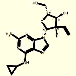 C=C[C@@]1(F)[C@H](O)[C@@H](CO)O[C@H]1n1cnc2c(NC3CC3)nc(N)nc21